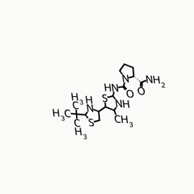 CC1NC(NC(=O)N2CCC[C@@H]2C(N)=O)SC1C1CSC(C(C)(C)C)N1